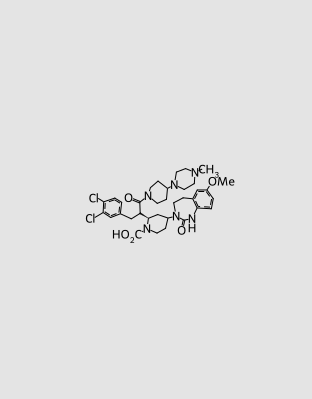 COc1ccc2c(c1)CCN(C1CCN(C(=O)O)[C@@H](C(Cc3ccc(Cl)c(Cl)c3)C(=O)N3CCC(N4CCN(C)CC4)CC3)C1)C(=O)N2